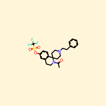 CC(=O)N1CCc2cc(OS(=O)(=O)C(F)(F)F)ccc2C12CCN(CCc1ccccc1)CC2